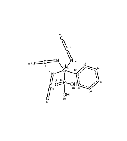 O=C=N[SH](N=C=O)(N=C=O)(c1ccccc1)P(=O)(O)O